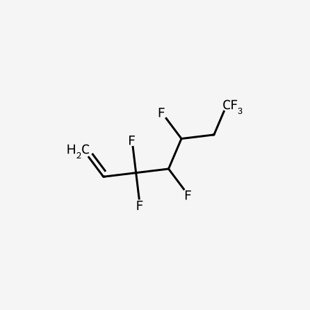 C=CC(F)(F)C(F)C(F)CC(F)(F)F